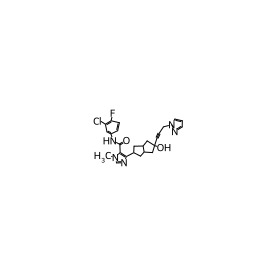 Cn1cnc(C2CC3CC(O)(C#CCn4cccn4)CC3C2)c1C(=O)Nc1ccc(F)c(Cl)c1